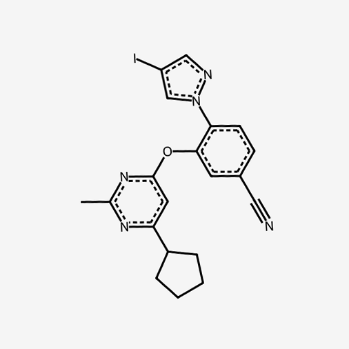 Cc1nc(Oc2cc(C#N)ccc2-n2cc(I)cn2)cc(C2CCCC2)n1